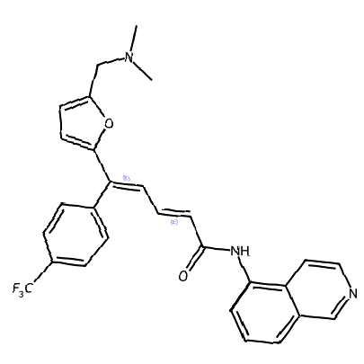 CN(C)Cc1ccc(/C(=C/C=C/C(=O)Nc2cccc3cnccc23)c2ccc(C(F)(F)F)cc2)o1